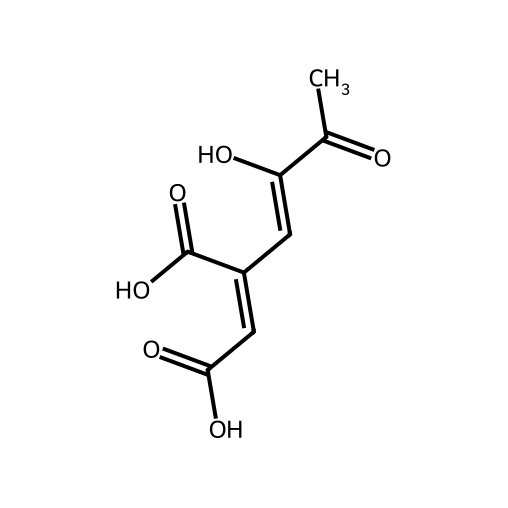 CC(=O)/C(O)=C/C(=C/C(=O)O)C(=O)O